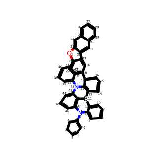 C1=CCCC(N2c3ccccc3B3c4cccc(-c5ccc6oc7cc8ccccc8cc7c6c5)c4N(c4ccccc4)c4cccc2c43)=C1